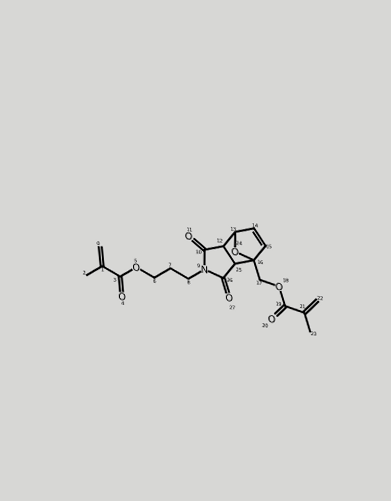 C=C(C)C(=O)OCCCN1C(=O)C2C3C=CC(COC(=O)C(=C)C)(O3)C2C1=O